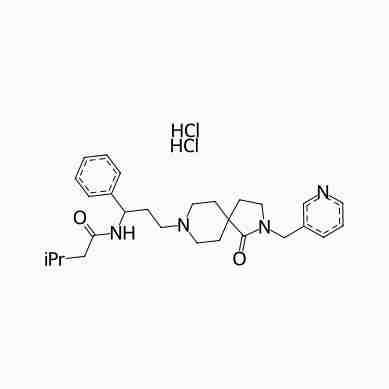 CC(C)CC(=O)NC(CCN1CCC2(CC1)CCN(Cc1cccnc1)C2=O)c1ccccc1.Cl.Cl